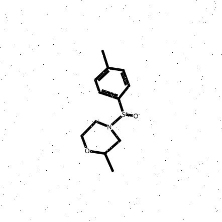 Cc1ccc([S+]([O-])N2CCOC(C)C2)cc1